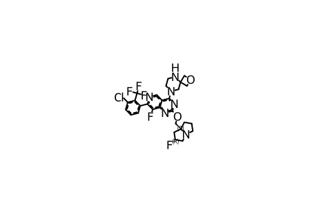 Fc1c(-c2cccc(Cl)c2C(F)(F)F)ncc2c(N3CCNC4(COC4)C3)nc(OC[C@@]34CCCN3C[C@H](F)C4)nc12